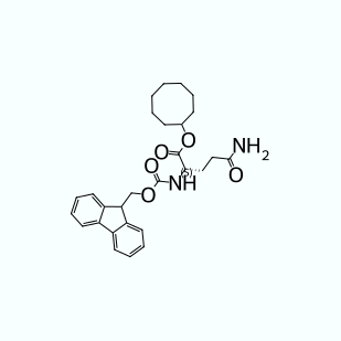 NC(=O)CC[C@H](NC(=O)OCC1c2ccccc2-c2ccccc21)C(=O)OC1CCCCCCC1